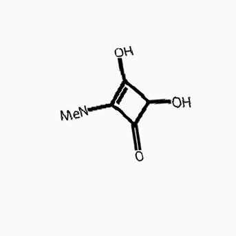 CNC1=C(O)C(O)C1=O